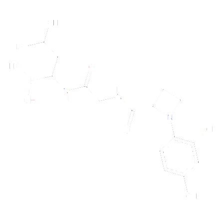 Cc1ccc(N2CC[C@H]2C(=O)NCC(=O)NC(CC(C)C)B(O)O)c(Cl)c1